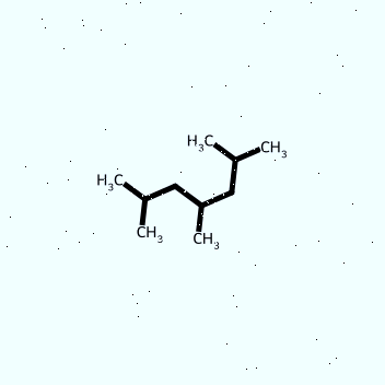 C[C](C)CC(C)CC(C)C